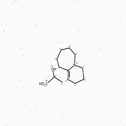 C1CCC2=NCCCN2CC1.CC(O)C(=O)O